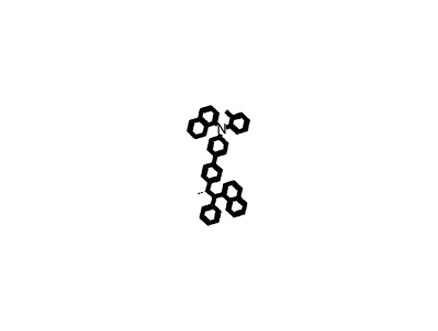 Cc1ccccc1N(c1cccc2c1CCC=C2)C1C=CC(c2ccc([C@@H](C)C(c3ccccc3)c3cccc4ccccc34)cc2)=CC1